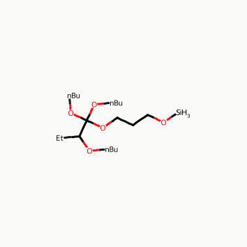 CCCCOC(CC)C(OCCCC)(OCCCC)OCCCO[SiH3]